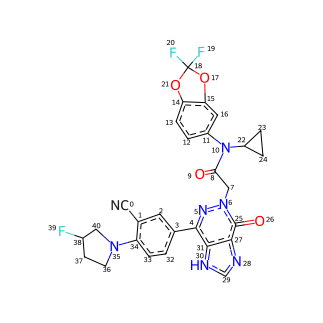 N#Cc1cc(-c2nn(CC(=O)N(c3ccc4c(c3)OC(F)(F)O4)C3CC3)c(=O)c3nc[nH]c23)ccc1N1CCC(F)C1